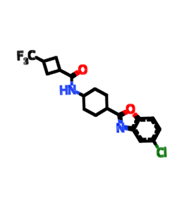 O=C(NC1CCC(c2nc3cc(Cl)ccc3o2)CC1)C1CC(C(F)(F)F)C1